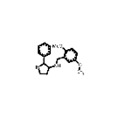 COc1ccc(OC(F)(F)F)cc1CNC1CCNC1c1ccccc1